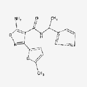 Cc1ccc(-c2noc(N)c2C(=O)NC(C)c2ccccc2)o1